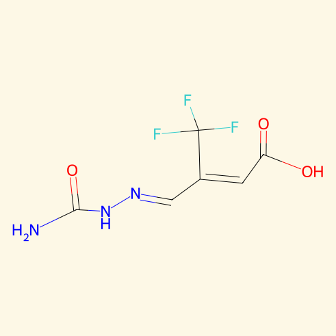 NC(=O)N/N=C/C(=CC(=O)O)C(F)(F)F